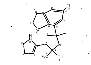 CC(C)(CC(O)(CC1=CCCN1)C(F)(F)F)c1cc(Cl)cc2c1OCC2